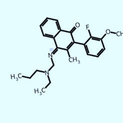 CCCN(CC)C/N=C1\C(C)=C(c2cccc(OC)c2F)C(=O)c2ccccc21